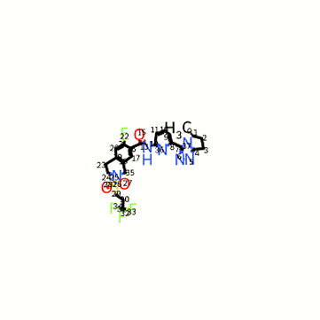 C[C@H]1CCc2nnc(-c3cccc(NC(=O)c4cc5c(cc4F)CCN(S(=O)(=O)CCC(F)(F)F)C5)n3)n21